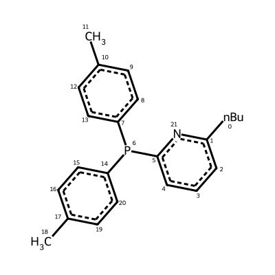 CCCCc1cccc(P(c2ccc(C)cc2)c2ccc(C)cc2)n1